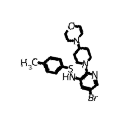 Cc1ccc(SNc2cc(Br)cnc2N2CCC(N3CCOCC3)CC2)cc1